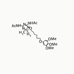 COc1cc(OCCCCCCON2C(NC(C)=O)=NC(NC(C)=O)=NC2(C)C)cc(OC)c1OC